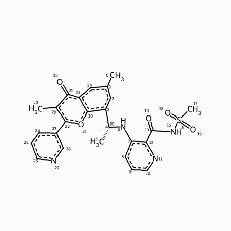 Cc1cc([C@@H](C)Nc2cccnc2C(=O)NS(C)(=O)=O)c2oc(-c3cccnc3)c(C)c(=O)c2c1